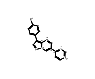 Fc1ccc(-c2cnn3cc(-c4ccncn4)cnc23)cc1